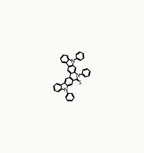 S=c1c2cc3c(cc2c2cc4c5ccccc5n(-c5ccccc5)c4cc2n1-c1ccccc1)c1ccccc1n3-c1ccccc1